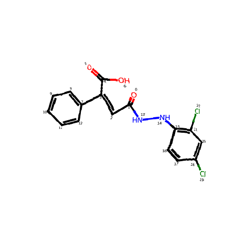 O=C(C=C(C(=O)O)c1ccccc1)NNc1ccc(Cl)cc1Cl